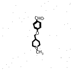 CN1CCC(COc2ccc([C]=O)cc2)CC1